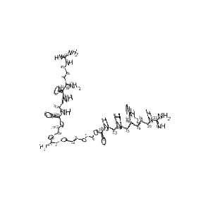 CC(COCCOCCOC(=O)NCNCC(N)CCCNC(=N)N)OCCOC(=O)NCNC(=O)C(N)CCCNC(=N)N